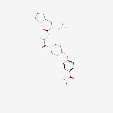 CCCCON(C=O)C[C@@H](CC1CCCC1)C(=O)NC(C(=O)N1CCC(Oc2ccc(C(=O)N(C)C)cc2)CC1)C(C)(C)C